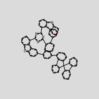 c1ccc(-c2ccccc2-c2nc(-c3cccc4oc5ccc(-c6ccc(-c7cccc8c7-c7ccccc7C87c8ccccc8-c8ccccc87)cc6)cc5c34)nc(-c3cccc4sc5ccccc5c34)n2)cc1